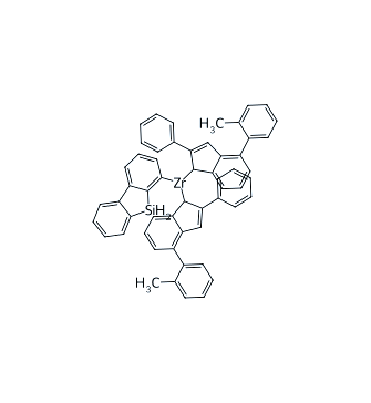 Cc1ccccc1-c1cccc2c1C=C(c1ccccc1)[CH]2[Zr]([c]1cccc2c1[SiH2]c1ccccc1-2)[CH]1C(c2ccccc2)=Cc2c(-c3ccccc3C)cccc21